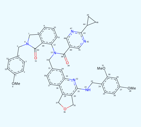 COc1ccc(CN2Cc3cccc(N(Cc4ccc5c6c(c(NCc7ccc(OC)cc7OC)nc5c4)COC6)C(=O)c4cnc(C5CC5)nc4)c3C2=O)cc1